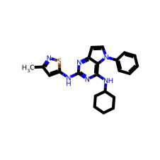 Cc1cc(Nc2nc(NC3CCCCC3)c3c(ccn3-c3ccccc3)n2)sn1